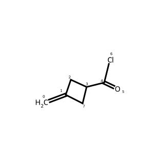 C=C1CC(C(=O)Cl)C1